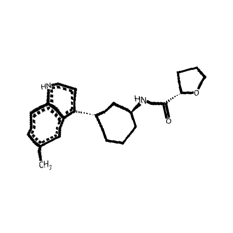 Cc1ccc2[nH]cc([C@H]3CCC[C@H](NC(=O)[C@@H]4CCCO4)C3)c2c1